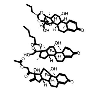 C=C1C[C@H]2[C@@H]3CCC4=CC(=O)C=C[C@]4(C)[C@@]3(F)[C@@H](O)C[C@]2(C)[C@@]1(O)C(=O)COC(C)=O.CCCCC(=O)O[C@]1(C(=O)CO)[C@@H](C)C[C@H]2[C@@H]3CCC4=CC(=O)C=C[C@]4(C)[C@@]3(F)[C@@H](O)C[C@@]21C.CCC[C@@H]1O[C@@H]2C[C@H]3[C@@H]4CCC5=CC(=O)C=C[C@]5(C)[C@H]4[C@@H](O)C[C@]3(C)[C@]2(C(=O)CO)O1